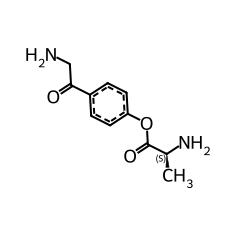 C[C@H](N)C(=O)Oc1ccc(C(=O)CN)cc1